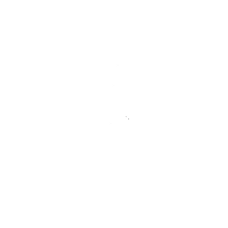 CCN(CC1=CC=CCC1)Cc1cccc(C)c1